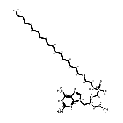 CCCCCCCCCCCCCCCCCCOCCOP(=O)(O)CO[C@H](COC)Cn1cnc2c(N)nc(N)nc21